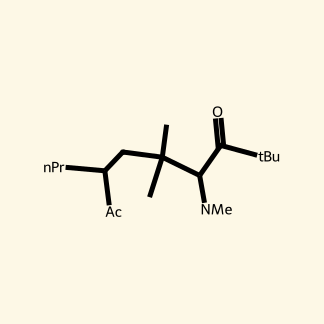 CCCC(CC(C)(C)C(NC)C(=O)C(C)(C)C)C(C)=O